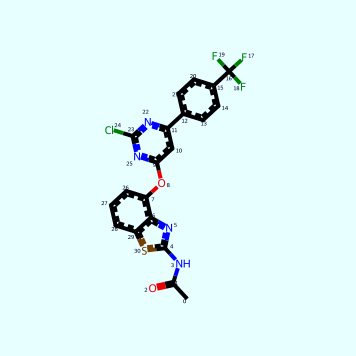 CC(=O)Nc1nc2c(Oc3cc(-c4ccc(C(F)(F)F)cc4)nc(Cl)n3)cccc2s1